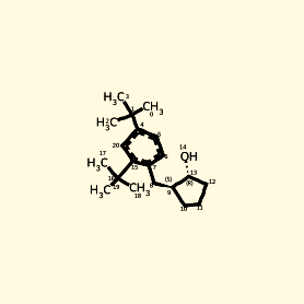 CC(C)(C)c1ccc(C[C@@H]2CCC[C@H]2O)c(C(C)(C)C)c1